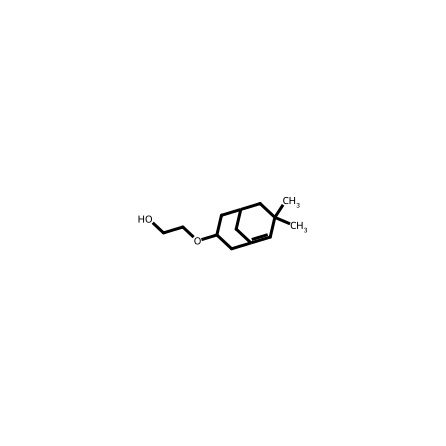 CC1(C)C=C2CC(CC(OCCO)C2)C1